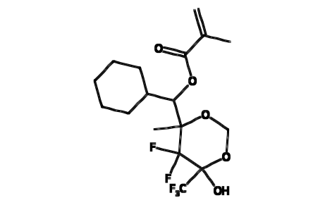 C=C(C)C(=O)OC(C1CCCCC1)C1(C)OCOC(O)(C(F)(F)F)C1(F)F